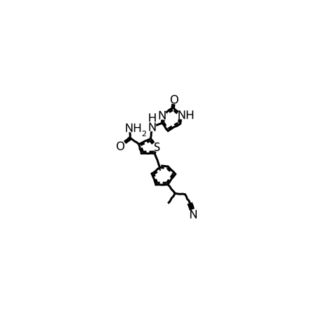 CC(CC#N)c1ccc(-c2cc(C(N)=O)c(Nc3cc[nH]c(=O)n3)s2)cc1